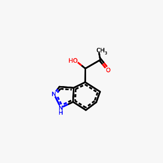 CC(=O)C(O)c1cccc2[nH]ncc12